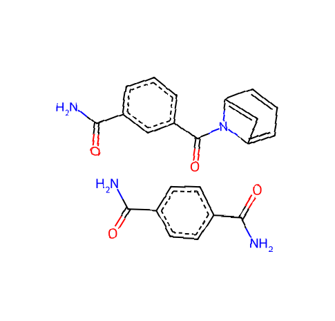 NC(=O)c1ccc(C(N)=O)cc1.NC(=O)c1cccc(C(=O)N2C3=CC=CC2=C3)c1